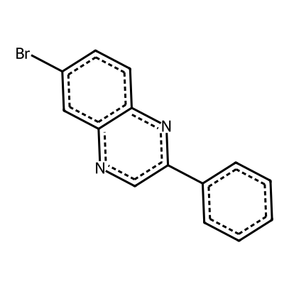 Brc1ccc2nc(-c3ccccc3)cnc2c1